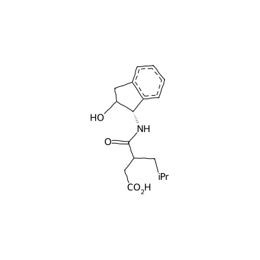 CC(C)CC(CC(=O)O)C(=O)N[C@H]1c2ccccc2CC1O